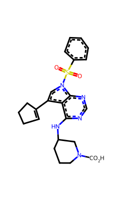 O=C(O)N1CCCC(Nc2ncnc3c2c(C2=CCCC2)cn3S(=O)(=O)c2ccccc2)C1